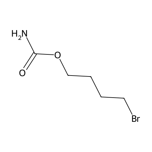 NC(=O)OCCCCBr